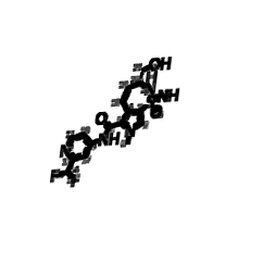 Cn1cc2c(c1C(=O)Nc1ccnc(C(F)F)c1)C=C[C@H](CO)NS2(=N)=O